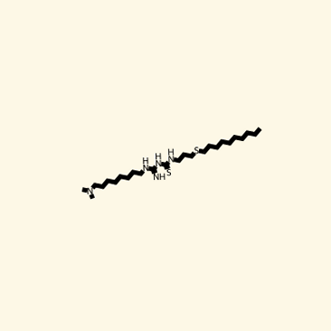 CCCCCCCCCCSCCCNC(=S)NC(=N)NCCCCCCCCN(C)C